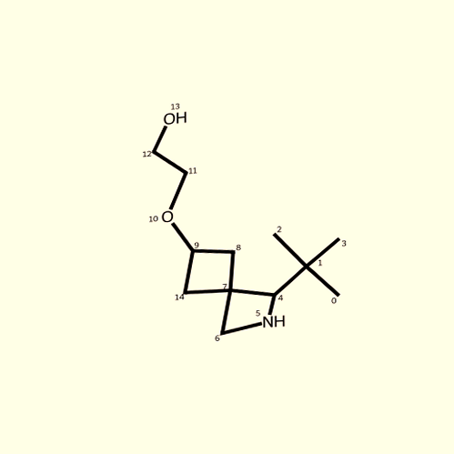 CC(C)(C)C1NCC12CC(OCCO)C2